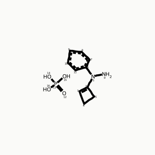 NN(C1=CCC1)c1ccccc1.O=P(O)(O)O